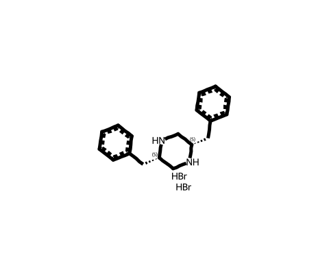 Br.Br.c1ccc(C[C@H]2CN[C@@H](Cc3ccccc3)CN2)cc1